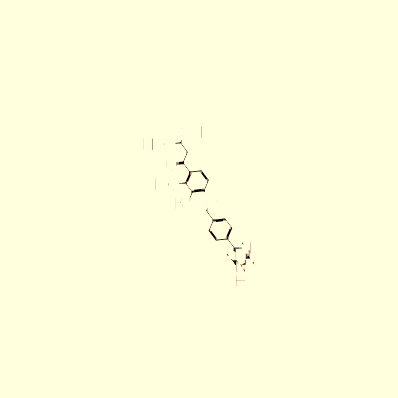 CC(C)CC(=O)c1ccc(OCc2ccc(-c3nn[nH]n3)cc2)c(Br)c1O